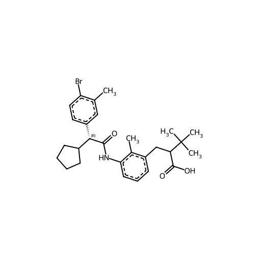 Cc1cc([C@H](C(=O)Nc2cccc(CC(C(=O)O)C(C)(C)C)c2C)C2CCCC2)ccc1Br